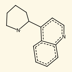 c1ccc2c(C3CCCC[N]3)ccnc2c1